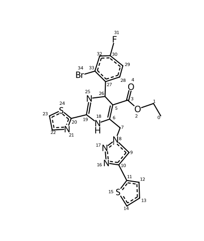 CCOC(=O)C1=C(Cn2cc(-c3cccs3)nn2)NC(c2nccs2)=NC1c1ccc(F)cc1Br